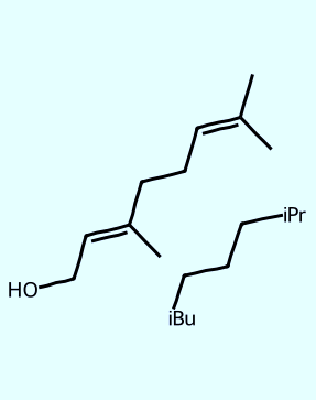 CC(C)=CCC/C(C)=C/CO.CCC(C)CCCC(C)C